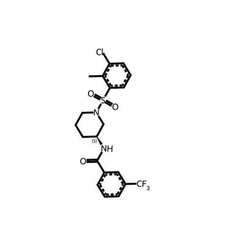 Cc1c(Cl)cccc1S(=O)(=O)N1CCC[C@H](NC(=O)c2cccc(C(F)(F)F)c2)C1